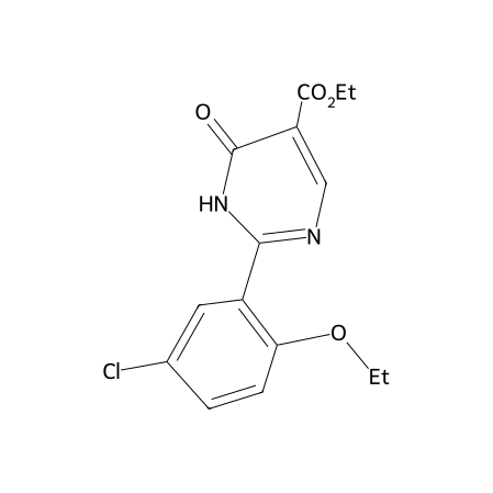 CCOC(=O)c1cnc(-c2cc(Cl)ccc2OCC)[nH]c1=O